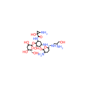 NC(CO)CNC[C@@H]1CC[C@@H](N)[C@@H](OC2[C@@H](N)C[C@@H](NC(=O)C3(O)CC3N)[C@H](O[C@H]3O[C@H](CO)[C@@H](O)C[C@H]3O)[C@H]2O)O1